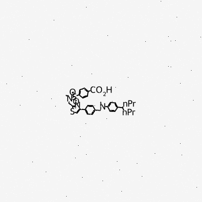 CCCC(CCC)c1ccc(N(C)Cc2ccc(-c3csc(CN(C)S(=O)(=O)c4ccc(C(=O)O)cc4)n3)cc2)cc1